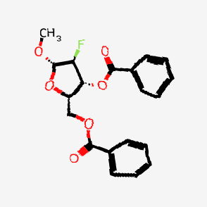 CO[C@H]1O[C@H](COC(=O)c2ccccc2)[C@@H](OC(=O)c2ccccc2)[C@@H]1F